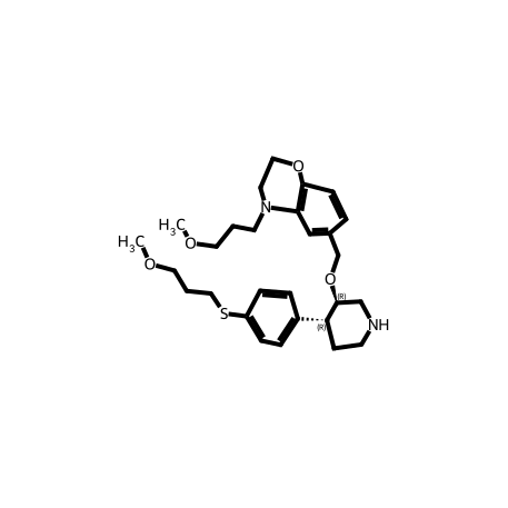 COCCCSc1ccc([C@H]2CCNC[C@@H]2OCc2ccc3c(c2)N(CCCOC)CCO3)cc1